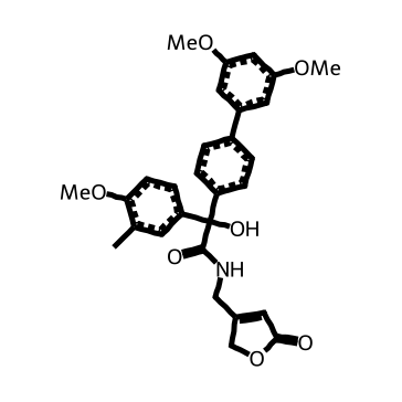 COc1cc(OC)cc(-c2ccc(C(O)(C(=O)NCC3=CC(=O)OC3)c3ccc(OC)c(C)c3)cc2)c1